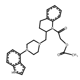 CC(=O)OCC(=O)N1c2ccccc2CCC1CN1CCN(c2cccc3[nH]ccc23)CC1